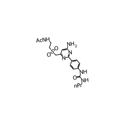 CCCNC(=O)Nc1ccc(-c2nc(N)cc(CS(=O)(=O)CCNC(C)=O)n2)cc1